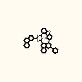 c1ccc(-c2cccc(-c3ccc4oc5cccc(C6N=C(c7ccc8ccc9ccccc9c8c7)N=C(c7ccc8ccccc8c7)N6)c5c4c3)c2)cc1